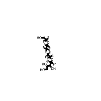 OCC(O)C(O)C(F)(F)OC(F)(F)C(F)(F)OC(F)(F)C(F)(F)OC(F)(F)CO